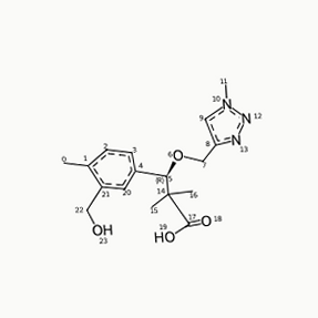 Cc1ccc([C@@H](OCc2cn(C)nn2)C(C)(C)C(=O)O)cc1CO